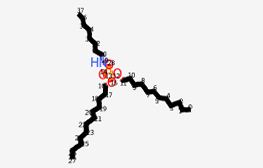 CCCCCCCCCCCCOP(=O)(OCCCCCCCCCCCC)ONCCCCCCCC